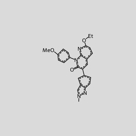 CCOc1ccc2cc(-c3ccc4nn(C)cc4c3)c(=O)n(-c3ccc(OC)cc3)c2n1